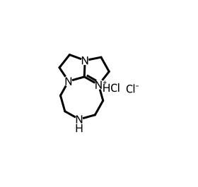 C1CN2CCN3CC[N+](=C23)CCN1.Cl.[Cl-]